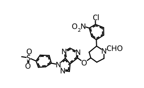 CS(=O)(=O)c1ccc(-n2ncc3c(OC4CCN(C=O)C(c5ccc(Cl)c([N+](=O)[O-])c5)C4)ncnc32)cc1